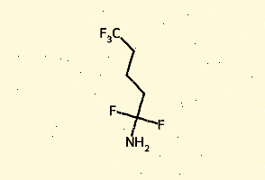 NC(F)(F)CCCC(F)(F)F